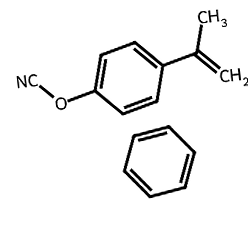 C=C(C)c1ccc(OC#N)cc1.c1ccccc1